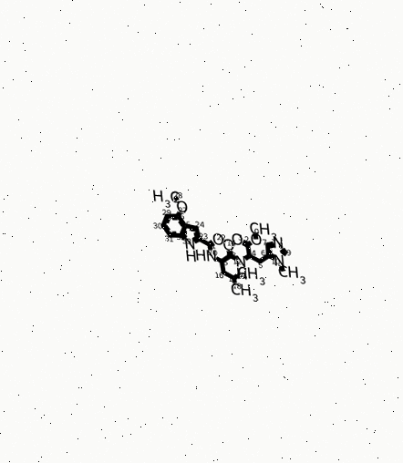 COC(=O)C(Cc1cncn1C)NC(=O)C(CC(C)C)NC(=O)c1cc2c(OC)cccc2[nH]1